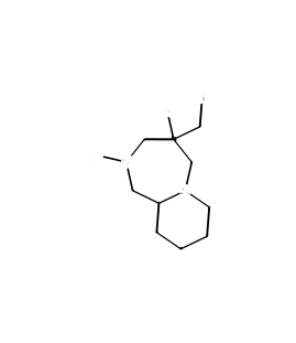 CC(C)CC1([N+](=O)[O-])CN(C)CC2CCCCN2C1